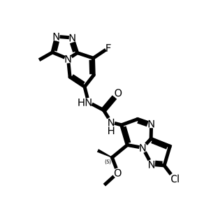 CO[C@@H](C)c1c(NC(=O)Nc2cc(F)c3nnc(C)n3c2)cnc2cc(Cl)nn12